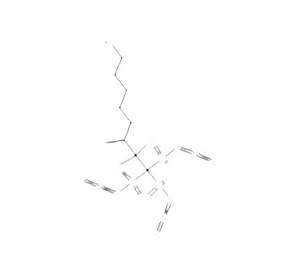 CCCCCCCCCCCCCCCC(Cl)C(Cl)(Cl)C(S(=O)(=O)N=[N+]=[N-])(S(=O)(=O)N=[N+]=[N-])S(=O)(=O)N=[N+]=[N-]